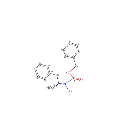 CCN(C(=O)OCc1ccccc1)[C@H](Cc1ccccc1)C(=O)O